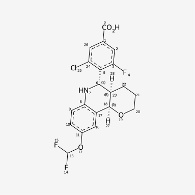 O=C(O)c1cc(F)c([C@H]2Nc3ccc(OC(F)F)cc3[C@@H]3OCCC[C@H]23)c(Cl)c1